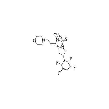 Cn1c(CCN2CCOCC2)c2n(c1=S)C[C@@H](c1c(F)c(F)cc(F)c1F)C2